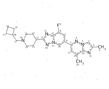 Cc1cn2nc(-c3cc(F)c4nc(C5CCN(CC6CCC6)CC5)nn4c3)cc(C)c2n1